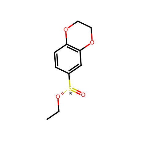 CCO[S@@](=O)c1ccc2c(c1)OCCO2